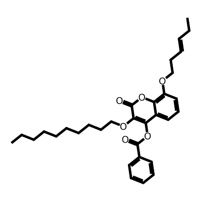 CCC=CCCOc1cccc2c(OC(=O)c3ccccc3)c(OCCCCCCCCCC)c(=O)oc12